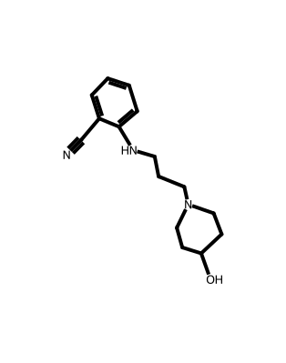 N#Cc1ccccc1NCCCN1CCC(O)CC1